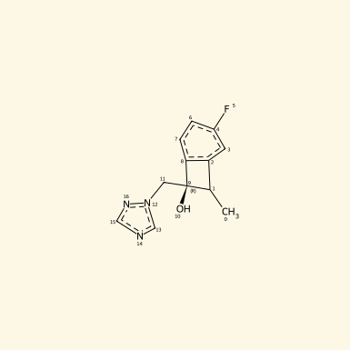 CC1c2cc(F)ccc2[C@@]1(O)Cn1cncn1